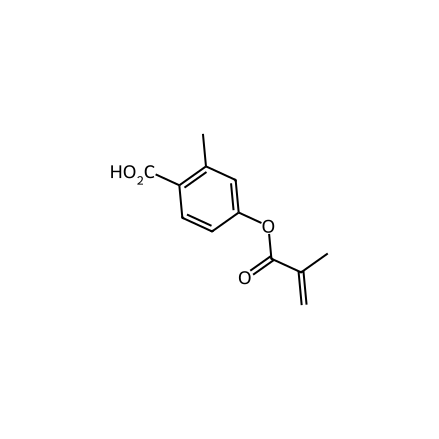 C=C(C)C(=O)Oc1ccc(C(=O)O)c(C)c1